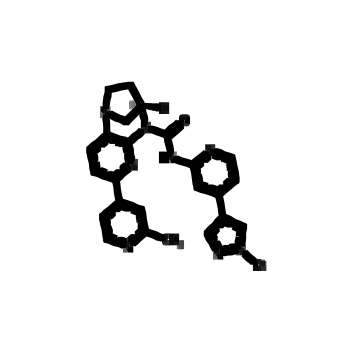 CCn1cc(-c2ccnc(NC(=O)N3c4nc(-c5ccnc(C)c5)ccc4N4CC[C@H]3C4)c2)cn1